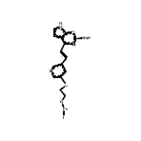 CNc1nc(/C=C/c2cncc(OCCOPI)c2)c2cc[nH]c2n1